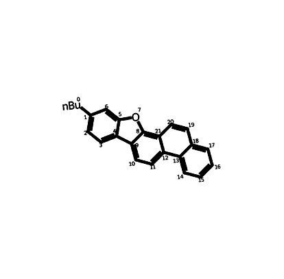 CCCCc1ccc2c(c1)oc1c2ccc2c3ccccc3ccc21